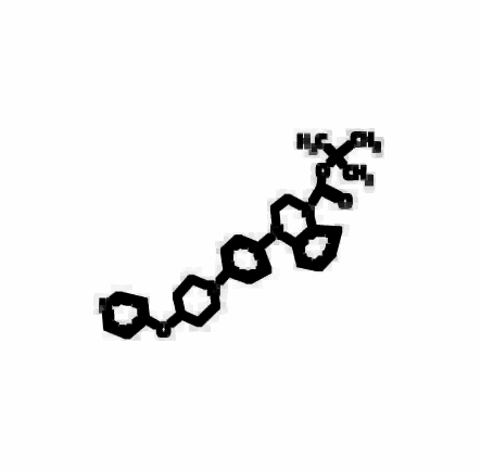 CC(C)(C)OC(=O)N1CCN(c2ccc(N3CCC(Oc4ccncc4)CC3)cc2)c2ccccc21